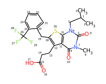 CC(C)Cn1c(=O)n(C)c(=O)c2c(CCC(=O)O)c(Cc3ccccc3C(F)(F)F)sc21